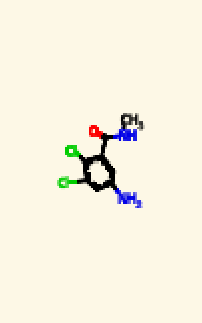 CNC(=O)c1cc(N)cc(Cl)c1Cl